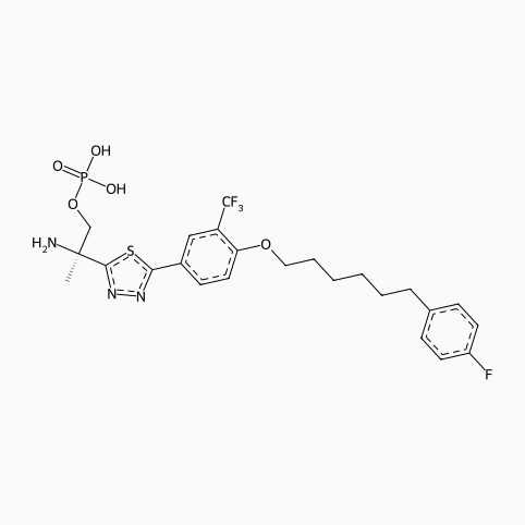 C[C@](N)(COP(=O)(O)O)c1nnc(-c2ccc(OCCCCCCc3ccc(F)cc3)c(C(F)(F)F)c2)s1